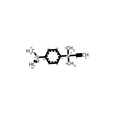 C#C[Si](C)(C)c1ccc([SH](#C)C)cc1